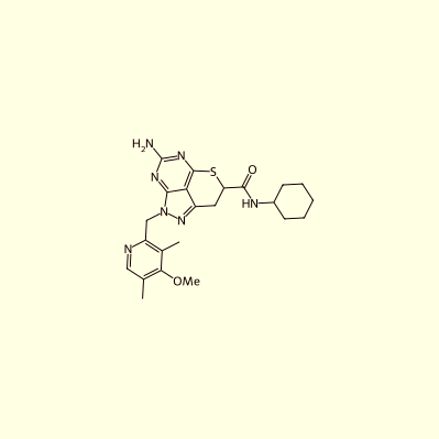 COc1c(C)cnc(Cn2nc3c4c(nc(N)nc42)SC(C(=O)NC2CCCCC2)C3)c1C